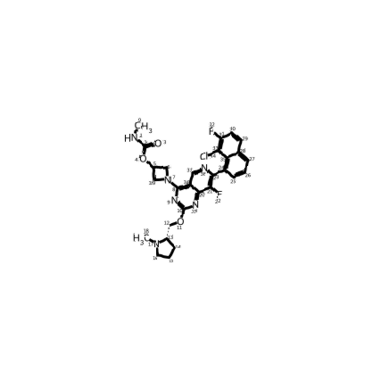 CNC(=O)OC1CN(c2nc(OC[C@@H]3CCCN3C)nc3c(F)c(-c4cccc5ccc(F)c(Cl)c45)ncc23)C1